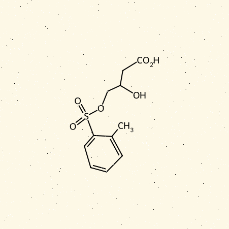 Cc1ccccc1S(=O)(=O)OCC(O)CC(=O)O